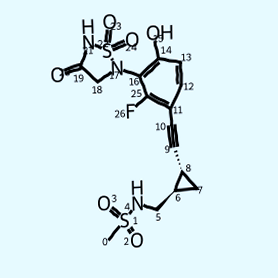 CS(=O)(=O)NC[C@@H]1C[C@H]1C#Cc1ccc(O)c(N2CC(=O)NS2(=O)=O)c1F